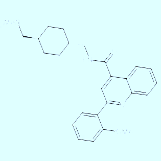 CNC[C@H]1CC[C@H](CNC(=O)c2cc(-c3ccccc3OC)nc3ccccc23)CC1